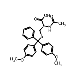 COc1ccc(C(SC[C@H](NC(C)=O)C(=O)O)(c2ccccc2)c2ccc(OC)cc2)cc1